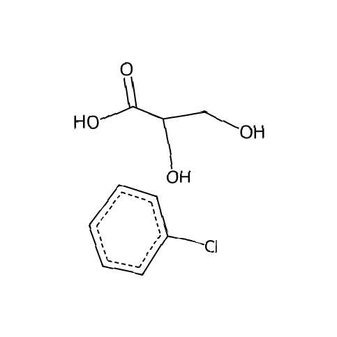 Clc1ccccc1.O=C(O)C(O)CO